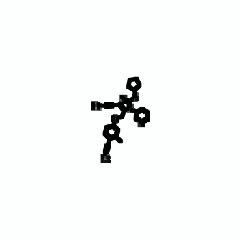 CCC#Cc1ccc(OCc2c(C#CCC)nc(SC3CCCC3)n2-c2cccnc2)cc1C